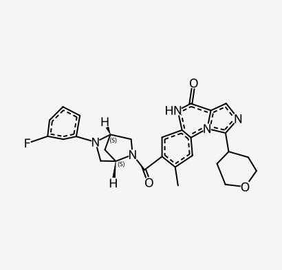 Cc1cc2c(cc1C(=O)N1C[C@@H]3C[C@H]1CN3c1cccc(F)c1)[nH]c(=O)c1cnc(C3CCOCC3)n12